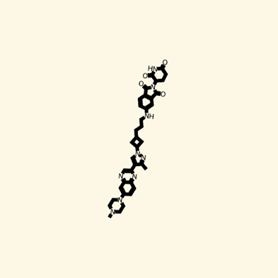 Cc1nn(C2CC(CCCNc3ccc4c(c3)C(=O)N(C3CCC(=O)NC3=O)C4=O)C2)cc1-c1cnc2cc(N3CCN(C)CC3)ccc2n1